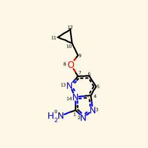 Nc1nnc2ccc(OCC3CC3)nn12